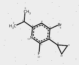 CC(C)c1cc(Br)c(C2CC2)c(F)n1